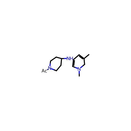 CC(=O)N1CCC(NC2=CN(C)CC(C)=C2)CC1